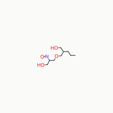 CCCC(CO)COCC(CO)N=O